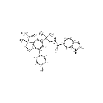 C[C@]1(C(N)=O)COc2c1cc(C(O)(CNC(=O)c1ccc3cn[nH]c3c1)C(F)(F)F)nc2-c1ccc(F)cc1